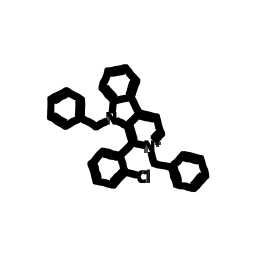 Clc1ccccc1-c1c2c(cc[n+]1Cc1ccccc1)c1ccccc1n2Cc1ccccc1